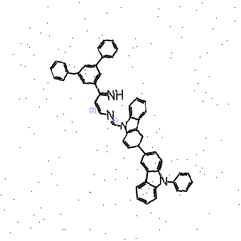 N=C(/C=C\N=C\n1c2c(c3ccccc31)CC(c1ccc3c(c1)c1ccccc1n3-c1ccccc1)C=C2)c1cc(-c2ccccc2)cc(-c2ccccc2)c1